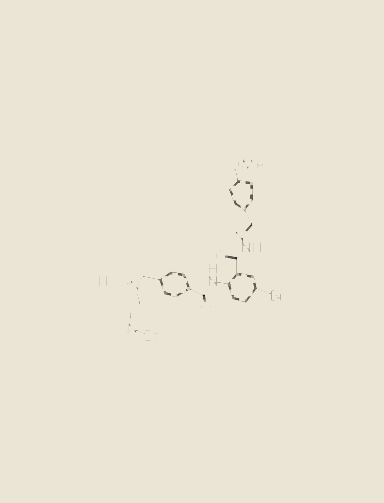 CCN(CC)CCN(C)Cc1ccc(C(=O)Nc2ccc(Br)cc2C(=O)NN=Cc2ccc(OC)cc2)cc1